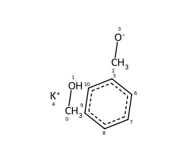 CO.C[O-].[K+].c1ccccc1